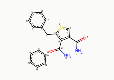 NC(=O)c1csc(Cc2ccccc2)c1C(N)=O.c1ccccc1